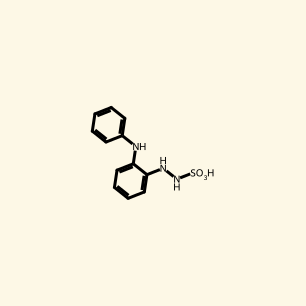 O=S(=O)(O)NNc1ccccc1Nc1ccccc1